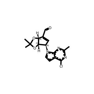 Cc1nc(Cl)c2ccn([C@@H]3C=C(C=O)[C@H]4OC(C)(C)O[C@H]43)c2n1